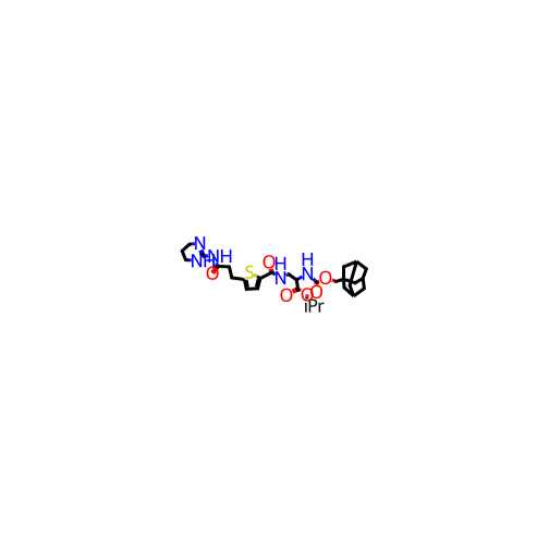 CC(C)OC(=O)C(CNC(=O)c1ccc(CCC(=O)NC2=NCCCN2)s1)NC(=O)OCC12CC3CC(CC(C3)C1)C2